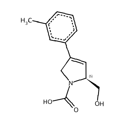 Cc1cccc(C2=C[C@@H](CO)N(C(=O)O)C2)c1